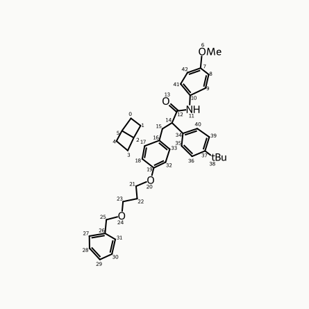 C1CC2CCC12.COc1ccc(NC(=O)C(Cc2ccc(OCCCOCc3ccccc3)cc2)c2ccc(C(C)(C)C)cc2)cc1